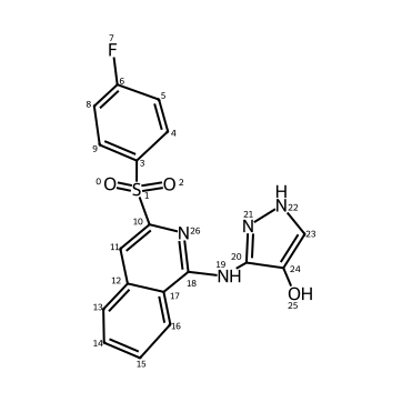 O=S(=O)(c1ccc(F)cc1)c1cc2ccccc2c(Nc2n[nH]cc2O)n1